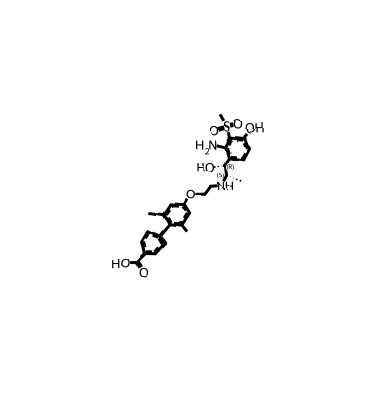 Cc1cc(OCCN[C@@H](C)[C@H](O)c2ccc(O)c(S(C)(=O)=O)c2N)cc(C)c1-c1ccc(C(=O)O)cc1